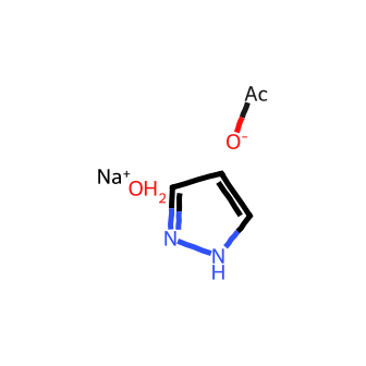 CC(=O)[O-].O.[Na+].c1cn[nH]c1